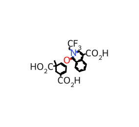 CC1(C(=O)O)C=CC=C(C(=O)O)C1.O=C(O)c1cn(CC(F)(F)F)c(=O)c2ccccc12